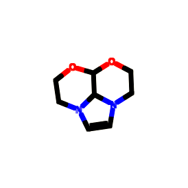 C1=CN2CCOC3OCCN1C32